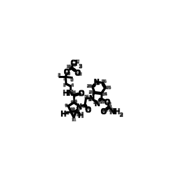 CC(C)(CCNC(=O)[C@@H]1C[C@H]2C[C@H]2N1C(=O)Cn1nc(OC(N)=O)c2ccncc21)OC(=O)C(F)(F)F